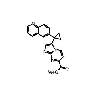 COC(=O)c1ccn2c(C3(c4ccc5ncccc5c4)CC3)cnc2n1